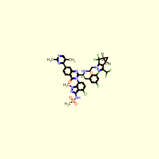 Cc1ncc(C)c(-c2ccc3c(=O)n(-c4ccc(Cl)c5c(NS(C)(=O)=O)nn(C)c45)c([C@H](Cc4cc(F)cc(F)c4)NC(=O)Cn4nc(C(F)F)c5c4C(F)(F)[C@@H]4C[C@H]54)nc3c2)n1